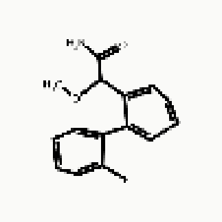 COC(C(N)=O)c1ccccc1-c1ccccc1F